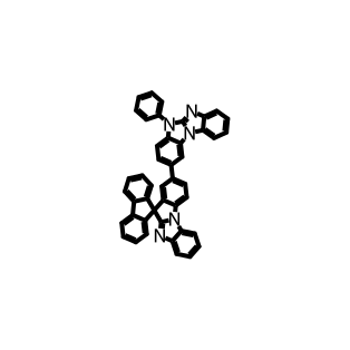 c1ccc(-n2c3ccc(-c4ccc5c(c4)C4(c6ccccc6-c6ccccc64)c4nc6ccccc6n4-5)cc3n3c4ccccc4nc23)cc1